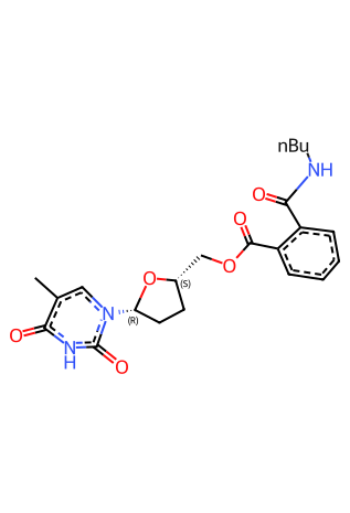 CCCCNC(=O)c1ccccc1C(=O)OC[C@@H]1CC[C@H](n2cc(C)c(=O)[nH]c2=O)O1